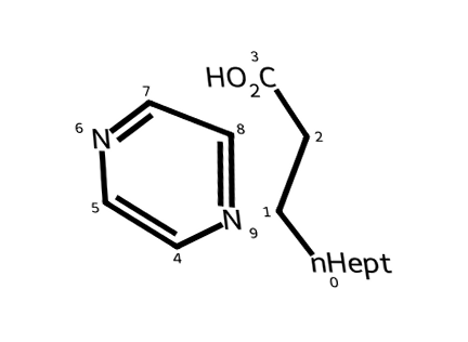 CCCCCCCCCC(=O)O.c1cnccn1